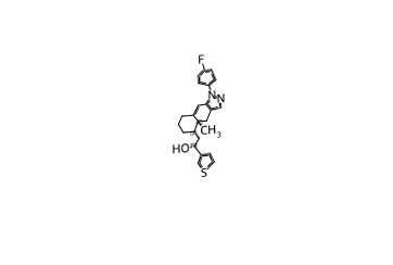 C[C@]12Cc3cnn(-c4ccc(F)cc4)c3C=C1CCC[C@@H]2C[C@@H](O)c1ccsc1